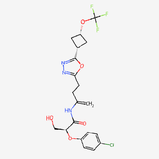 C=C(CCc1nnc([C@H]2C[C@@H](OC(F)(F)F)C2)o1)NC(=O)[C@H](CO)Oc1ccc(Cl)cc1